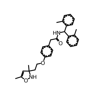 CC1=CC(C)(CCOc2ccc(CC(=O)NC(c3ccccc3C)c3ccccc3C)cc2)NO1